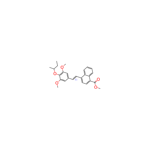 CCC(C)Oc1c(OC)cc(/C=C/c2ccc(C(=O)OC)c3ccccc23)cc1OC